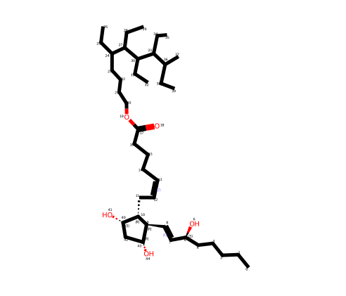 CCCCC[C@H](O)/C=C/[C@@H]1[C@@H](C/C=C\CCCC(=O)OCCCCC(CC)C(CC)C(CC)C(CC)C(C)CC)[C@@H](O)C[C@H]1O